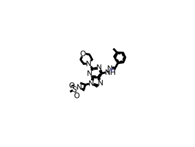 Cc1cccc(/C=N/Nc2nc(N3CCOCC3)nc3c2ncn3C2CN(S(C)(=O)=O)C2)c1